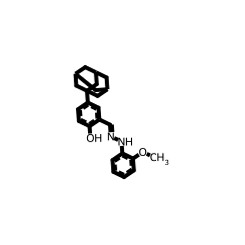 COc1ccccc1NN=Cc1cc(C23CC4CC(CC(C4)C2)C3)ccc1O